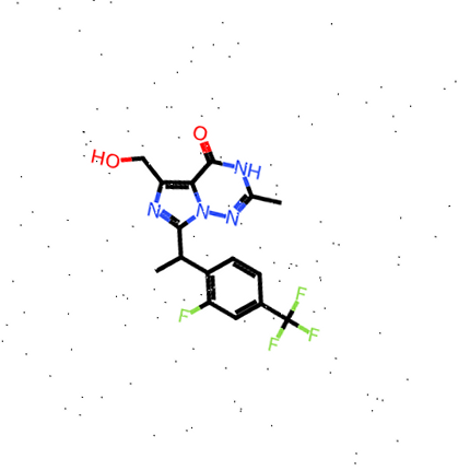 Cc1nn2c(C(C)c3ccc(C(F)(F)F)cc3F)nc(CO)c2c(=O)[nH]1